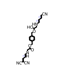 N#C/C=C/C=C/NCC(O)OCc1ccc(COC(=O)CN/C=C/C=C(C#N)C#N)cc1